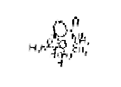 CC(C)c1csc(NC(N)=O)c1C(=O)O.NC(=O)[C@H]1CCCCNC1